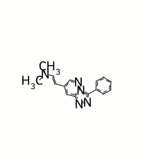 CN(C)C=Cc1cnn2c(-c3ccccc3)nnc2c1